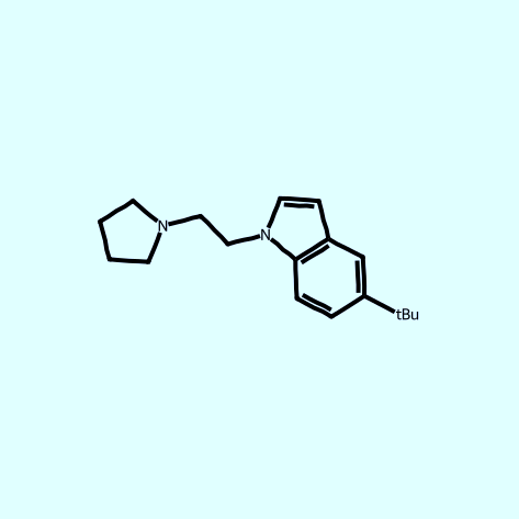 CC(C)(C)c1ccc2c(ccn2CCN2CCCC2)c1